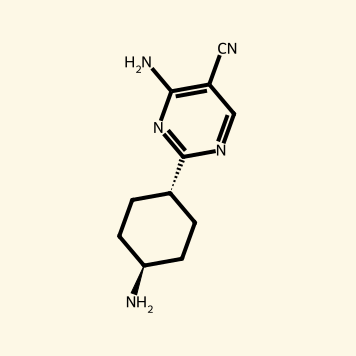 N#Cc1cnc([C@H]2CC[C@H](N)CC2)nc1N